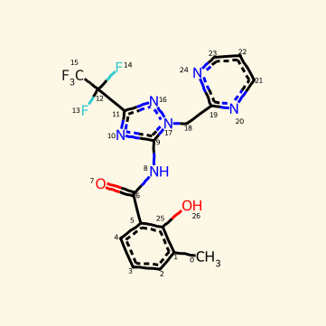 Cc1cccc(C(=O)Nc2nc(C(F)(F)C(F)(F)F)nn2Cc2ncccn2)c1O